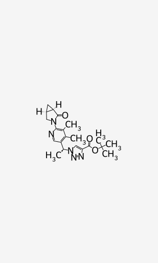 Cc1c([C@H](C)n2cc(C(=O)OC(C)(C)C)nn2)cnc(N2C[C@H]3C[C@H]3C2=O)c1C